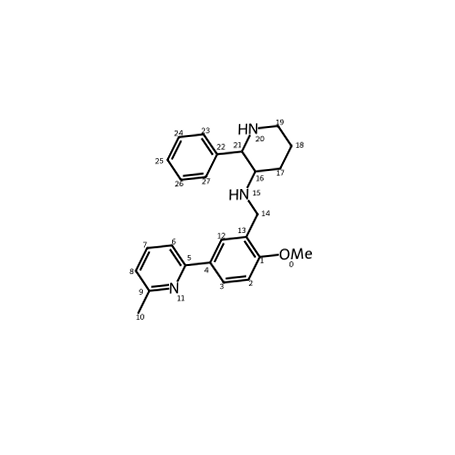 COc1ccc(-c2cccc(C)n2)cc1CNC1CCCNC1c1ccccc1